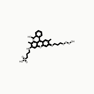 Cc1cc2c(-c3ccccc3C(=O)O)c3cc(C)/c(=N\CCCSOOO)cc-3oc2cc1NCCCS(=O)(=O)O